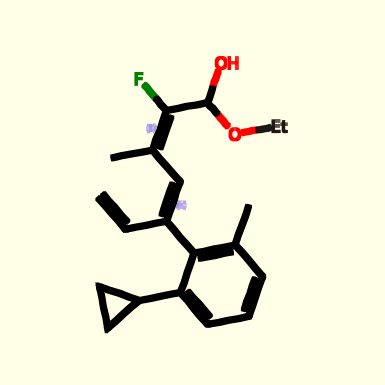 C=C/C(=C\C(C)=C(\F)C(O)OCC)c1c(C)cccc1C1CC1